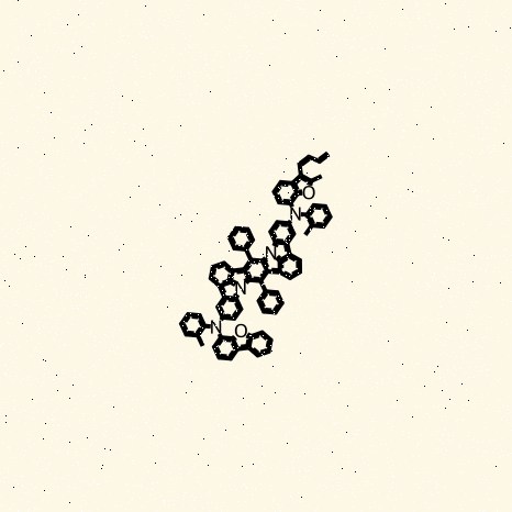 C=C/C=C\c1c(C)oc2c(N(c3ccc4c(c3)c3cccc5c6c(-c7ccccc7)c7c(c(-c8ccccc8)c6n4c35)c3cccc4c5cc(N(c6ccccc6C)c6cccc8c6oc6ccccc68)ccc5n7c43)c3ccccc3C)cccc12